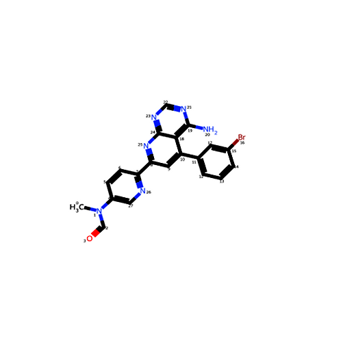 CN(C=O)c1ccc(-c2cc(-c3cccc(Br)c3)c3c(N)ncnc3n2)nc1